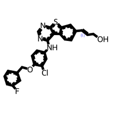 OC/C=C/c1ccc2c(c1)sc1ncnc(Nc3ccc(OCc4cccc(F)c4)c(Cl)c3)c12